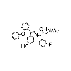 CNC[C@@H](O)[C@H](c1cccc(F)c1)n1cc(-c2ccccc2Oc2ccccc2)c2ccccc21.Cl